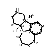 c1cc2c3c(c1)[C@@H]1CNCC[C@@H]1N3CCCS2